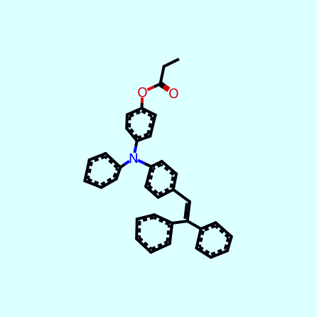 CCC(=O)Oc1ccc(N(c2ccccc2)c2ccc(C=C(c3ccccc3)c3ccccc3)cc2)cc1